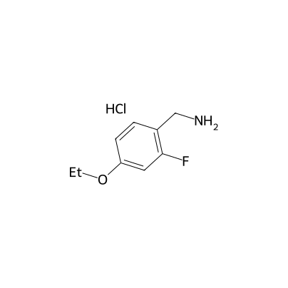 CCOc1ccc(CN)c(F)c1.Cl